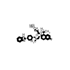 COCC(=O)O[C@]1(CCN(C)C[C@H]2CC[C@H](c3nc4ccccc4[nH]3)CC2)CCc2cc(F)ccc2[C@@H]1C(C)C.Cl.Cl